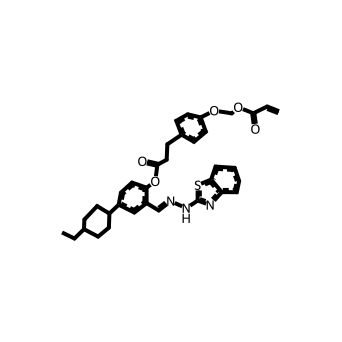 C=CC(=O)OCOc1ccc(CCC(=O)Oc2ccc(C3CCC(CC)CC3)cc2/C=N/Nc2nc3ccccc3s2)cc1